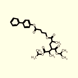 CC(C)OC(=O)C(C)C(CC(C)C(=O)OCCCC(=O)Oc1ccc(-c2ccccc2)cc1)C(=O)OC(C)C